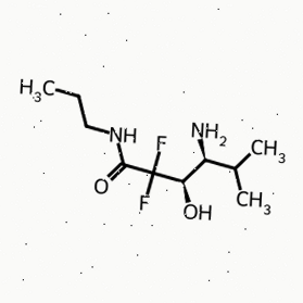 CCCNC(=O)C(F)(F)[C@H](O)[C@@H](N)C(C)C